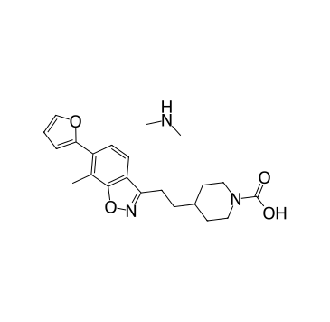 CNC.Cc1c(-c2ccco2)ccc2c(CCC3CCN(C(=O)O)CC3)noc12